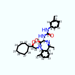 CC1=N[C@@H](NC(=O)Nc2cccc(C)c2)C(=O)N(CC(=O)C2CCCCCCC2)c2c(C)cccc21